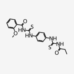 CCC(=O)NC(=S)Nc1ccc(NC(=S)NC(=O)c2ccccc2OC)cc1